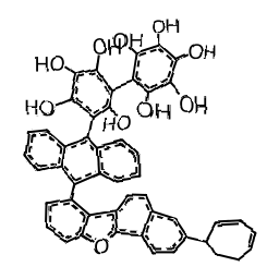 Oc1c(O)c(O)c(-c2c(O)c(O)c(O)c(-c3c4ccccc4c(-c4cccc5oc6c7ccc(C8C=CC=CCC8)cc7ccc6c45)c4ccccc34)c2O)c(O)c1O